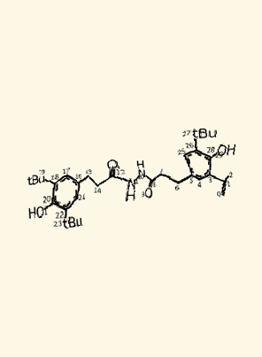 C=C(C)c1cc(CCC(=O)NNC(=O)CCc2cc(C(C)(C)C)c(O)c(C(C)(C)C)c2)cc(C(C)(C)C)c1O